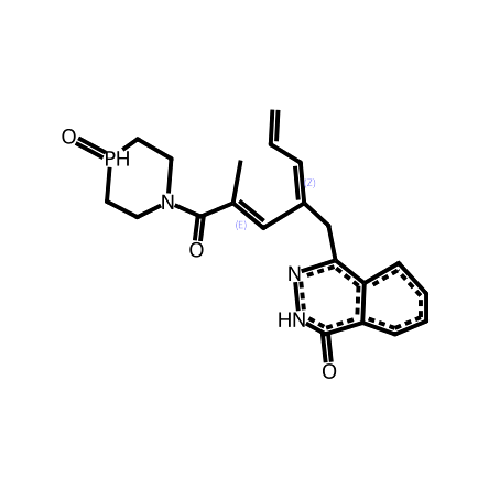 C=C/C=C(\C=C(/C)C(=O)N1CC[PH](=O)CC1)Cc1n[nH]c(=O)c2ccccc12